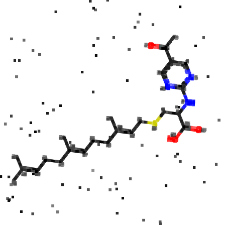 CC(=O)c1cnc(NC(CSC/C=C(\C)CC/C=C(\C)CCC=C(C)C)C(=O)O)nc1